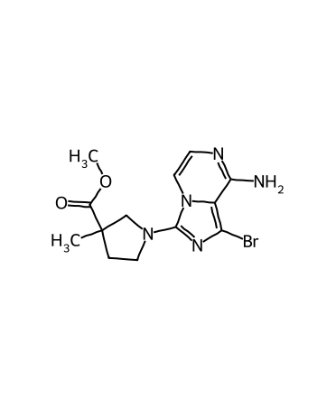 COC(=O)C1(C)CCN(c2nc(Br)c3c(N)nccn23)C1